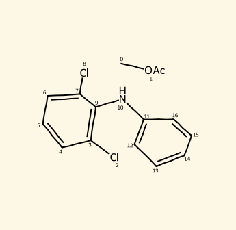 COC(C)=O.Clc1cccc(Cl)c1Nc1ccccc1